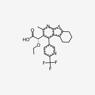 CCO[C@H](C(=O)O)c1c(C)nc2sc3c(c2c1-c1ccc(C(F)(F)F)nc1)CCCC3